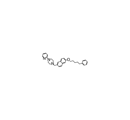 c1ccc(CCCCCOc2ccc3cc(CN4CCN(c5ccccn5)CC4)ccc3c2)cc1